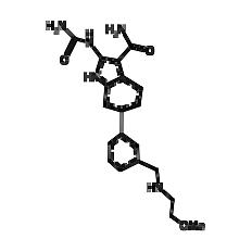 COCCNCc1cccc(-c2ccc3c(C(N)=O)c(NC(N)=O)[nH]c3c2)c1